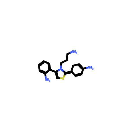 NCCCN1C(c2ccccc2N)=CSC1=C1C=CC(N)=CC1